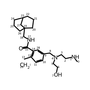 CNCCN(CCO)Cc1ccc(C)c(C(=O)NCC23CCCC(CCC2)C3)c1.[CH2]